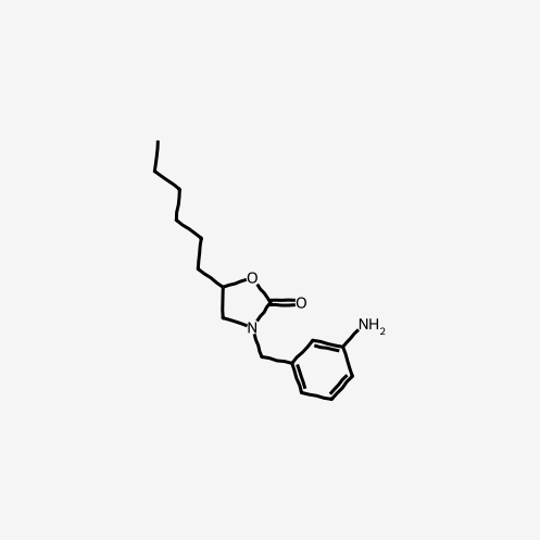 CCCCCCC1CN(Cc2cccc(N)c2)C(=O)O1